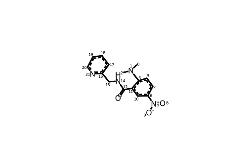 CN(C)c1ccc([N+](=O)[O-])cc1C(=O)NCc1ccccn1